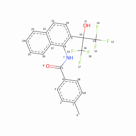 Cc1ccc(C(=O)Nc2c(C(O)(C(F)(F)F)C(F)(F)F)ccc3ccccc23)cc1